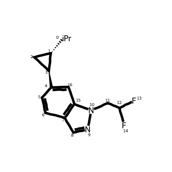 CC(C)[C@H]1C[C@@H]1c1ccc2cnn(CC(F)F)c2c1